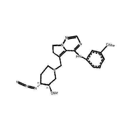 COc1cccc(NC2=NC=NN3CCC(CN4CC[C@@H](N=[N+]=[N-])[C@H](OC)C4)=C23)c1